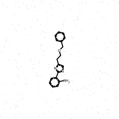 Nc1ccccc1-c1nc(CCOCc2ccccc2)cs1